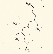 CCCCC(CC)[CH2][Al][CH2]C(CC)CCCC.Cl